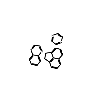 c1cc2c3c(cccc3c1)CC2.c1ccc2nccnc2c1.c1cnccn1